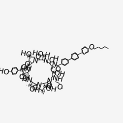 CCCCCOc1ccc(-c2ccc(-c3ccc(C(=O)NC4C[C@@H](O)C(NCCOC)NC(=O)C5[C@@H](O)[C@@H](C)CN5C(=O)C([C@@H](C)O)NC(=O)C([C@H](O)[C@@H](O)c5ccc(O)cc5)NC(=O)C5C[C@@H](O)CN5C(=O)C([C@@H](C)O)NC4=O)cc3)cc2)cc1